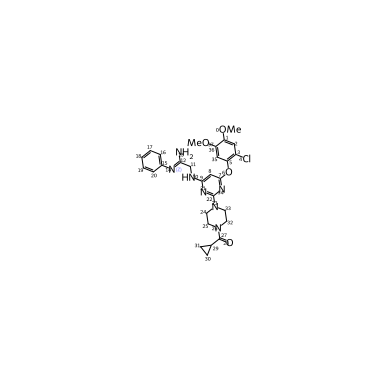 COc1cc(Cl)c(Oc2cc(NC/C(N)=N/c3ccccc3)nc(N3CCN(C(=O)C4CC4)CC3)n2)cc1OC